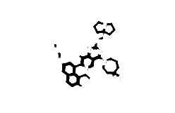 CCc1c(F)ccc2cc(OCOC)cc(-c3ncc4c(N5CCCC(C)(O)CC5)nc(OC[C@@]56CCCN5C[C@H](F)C6)nc4c3F)c12